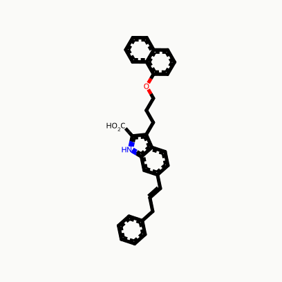 O=C(O)c1[nH]c2cc(C=CCc3ccccc3)ccc2c1CCCOc1cccc2ccccc12